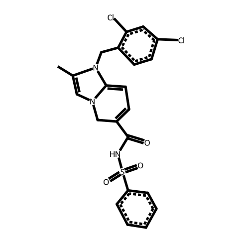 CC1=CN2CC(C(=O)NS(=O)(=O)c3ccccc3)=CC=C2N1Cc1ccc(Cl)cc1Cl